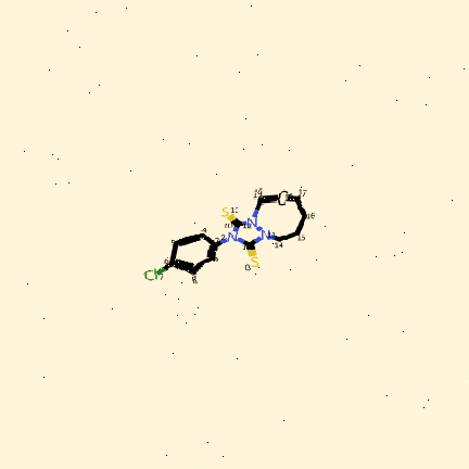 S=c1n(-c2ccc(Cl)cc2)c(=S)n2n1CCCCCC2